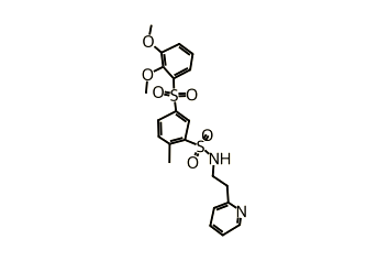 COc1cccc(S(=O)(=O)c2ccc(C)c(S(=O)(=O)NCCc3ccccn3)c2)c1OC